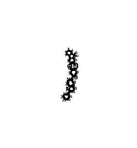 CC1(C)c2ccccc2-c2cc3c(cc21)Oc1ccc(-c2ccc4nc(-c5ccccc5)ccc4c2)cc1O3